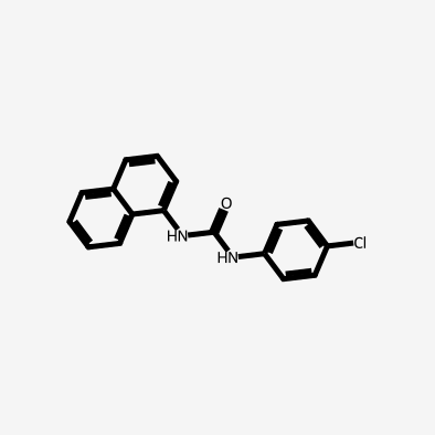 O=C(Nc1ccc(Cl)cc1)Nc1cccc2ccccc12